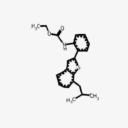 CCOC(=O)Nc1ccccc1-c1cc2cccc(CC(C)C)c2s1